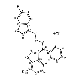 Cl.Fc1ccc2c(CCCN(c3ccncc3)c3csc4c(Cl)cccc34)noc2c1